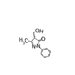 CC1=NN(c2ccccc2)C(=O)/C1=C\O